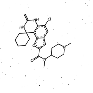 C=C1Nc2c(Cl)cc3cc(C(=O)N(C)C4CCN(C)CC4)oc3c2C2(CCCCC2)N1